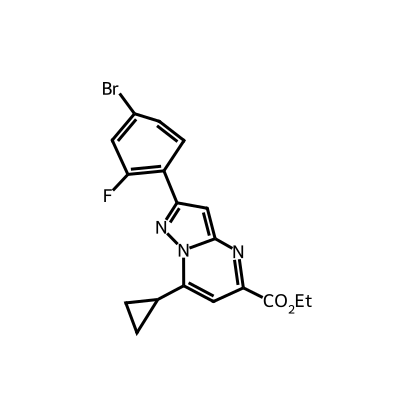 CCOC(=O)c1cc(C2CC2)n2nc(-c3ccc(Br)cc3F)cc2n1